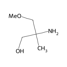 COCC(C)(N)CO